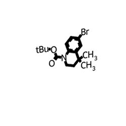 CC(C)(C)OC(=O)N1CCC(C)(C)c2cc(Br)ccc21